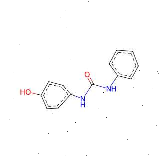 O=C(Nc1ccccc1)Nc1ccc(O)cc1